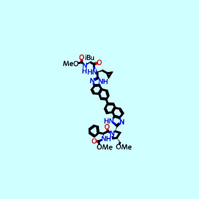 CC[C@H](C)[C@H](NC(=O)OC)C(=O)N[C@@H](CC1CC1)c1nc2ccc3cc(-c4ccc5c(ccc6nc([C@@H]7C[C@H](COC)CN7C(=O)[C@H](NC(=O)OC)c7ccccc7)[nH]c65)c4)ccc3c2[nH]1